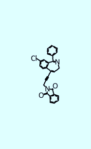 O=C1c2ccccc2C(=O)N1CC#CC1=CCN=C(c2ccccc2)c2cc(Cl)ccc21